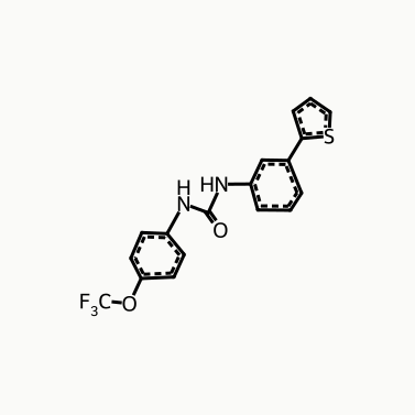 O=C(Nc1ccc(OC(F)(F)F)cc1)Nc1cccc(-c2cccs2)c1